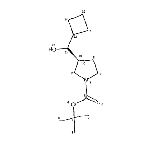 CC(C)(C)OC(=O)N1CC[C@H](C(O)C2CCC2)C1